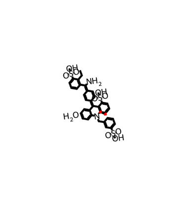 CCc1c(C(N)=c2ccc(=C(c3ccccc3N(CC)Cc3cccc(S(=O)(=O)O)c3)c3ccccc3S(=O)(=O)O)cc2)cccc1S(=O)(=O)O.O